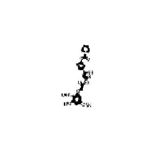 COc1cc(O)c(C=O)c(OCC(=O)Nc2cc([C@H]3CC[C@@H](OC(=O)N4CCCC4)C3)[nH]n2)c1